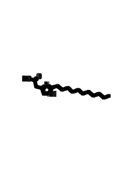 CCCCCCCCCCCc1nc(CC(=O)O)c[nH]1